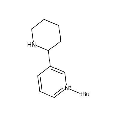 CC(C)(C)[n+]1cccc(C2CCCCN2)c1